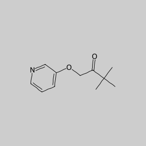 CC(C)(C)C(=O)COc1cccnc1